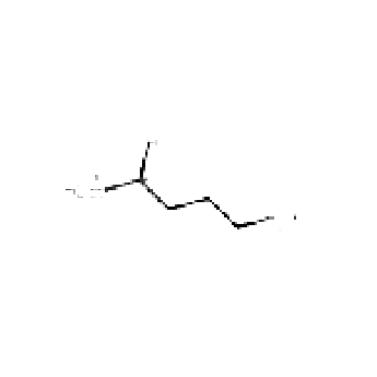 [CH2]CCCCCCCCCCC(C)CCCCCCC[CH2]